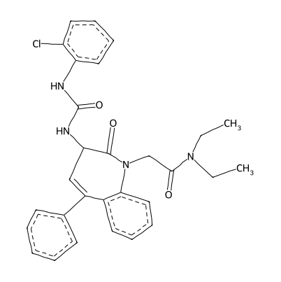 CCN(CC)C(=O)CN1C(=O)C(NC(=O)Nc2ccccc2Cl)C=C(c2ccccc2)c2ccccc21